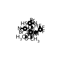 CC(=O)OC[C@H]1O[C@H](Sc2ccc(C#N)c(Br)c2)[C@H](OC(C)=O)[C@@H](n2cc(-c3cc(F)c(F)c(F)c3)nn2)[C@H]1OC(C)=O.N#Cc1ccc(S)cc1Br